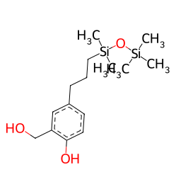 C[Si](C)(C)O[Si](C)(C)CCCc1ccc(O)c(CO)c1